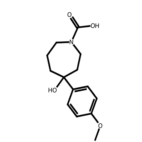 COc1ccc(C2(O)CCCN(C(=O)O)CC2)cc1